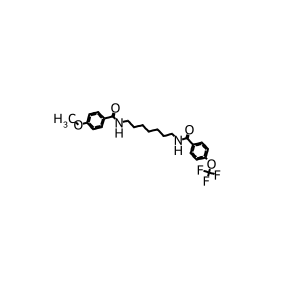 COc1ccc(C(=O)NCCCCCCCNC(=O)c2ccc(OC(F)(F)F)cc2)cc1